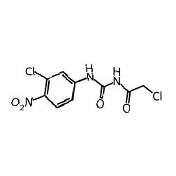 O=C(CCl)NC(=O)Nc1ccc([N+](=O)[O-])c(Cl)c1